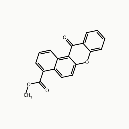 COC(=O)c1cccc2c1ccc1oc3ccccc3c(=O)c12